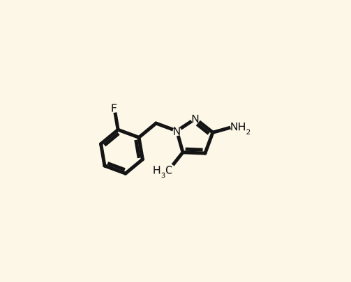 Cc1cc(N)nn1Cc1ccccc1F